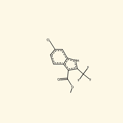 COC(=O)c1c(C(F)(F)F)[nH]c2cc(Cl)ccc12